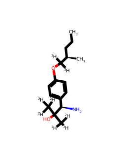 [2H]C([2H])(Oc1ccc([C@@H](N)C(O)(C([2H])([2H])[2H])C([2H])([2H])[2H])cc1)[C@H](C)CCC